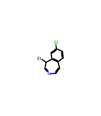 CCC1C=NC=Cc2ccc(Cl)cc21